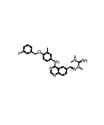 Cc1cc(Nc2ncnc3ccc(/C=N/N(C)C(=N)N(C)C)cc23)ccc1OCc1cccc(F)c1